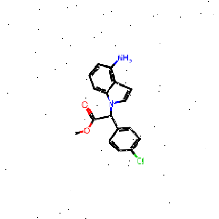 COC(=O)C(c1ccc(Cl)cc1)n1ccc2c(N)cccc21